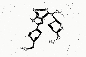 COc1ccc(N(C)c2ncnc3[nH]c(-c4ccc(CO)cc4)cc23)cn1